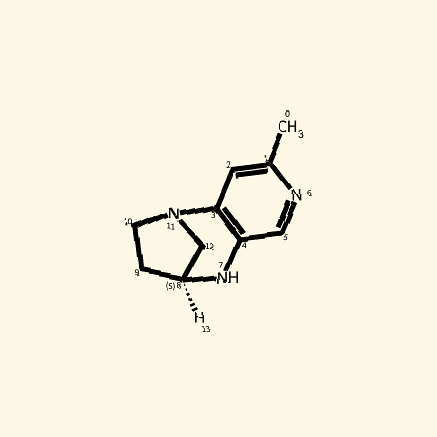 Cc1cc2c(cn1)N[C@H]1CCN2C1